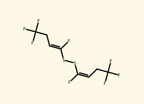 FC(=CCC(F)(F)F)SSC(F)=CCC(F)(F)F